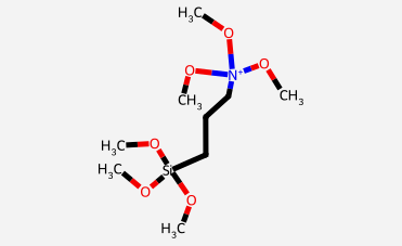 CO[N+](CCC[Si](OC)(OC)OC)(OC)OC